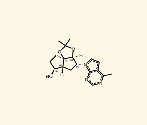 Cc1ncnc2c1ccn2[C@@H]1C[C@@H]2[C@@H](O)CC[C@@]23OC(C)(C)O[C@@H]13